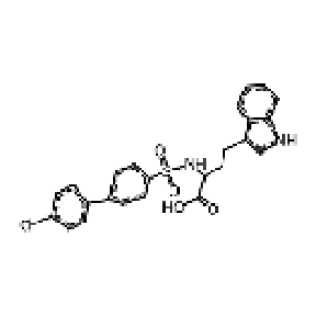 O=C(O)C(CCc1c[nH]c2ccccc12)NS(=O)(=O)c1ccc(-c2ccc(Cl)cc2)cc1